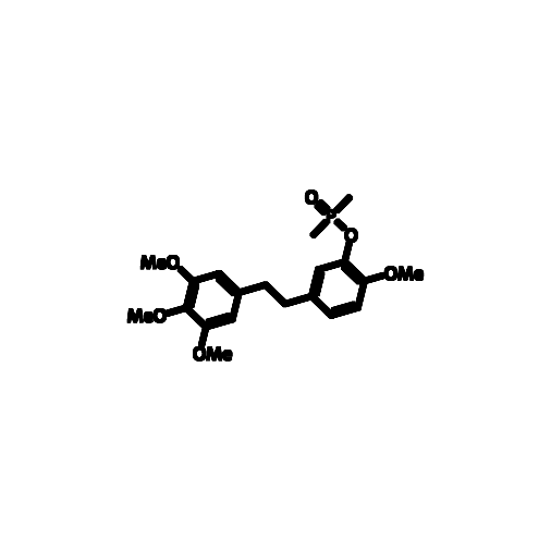 COc1ccc(CCc2cc(OC)c(OC)c(OC)c2)cc1OP(C)(C)=O